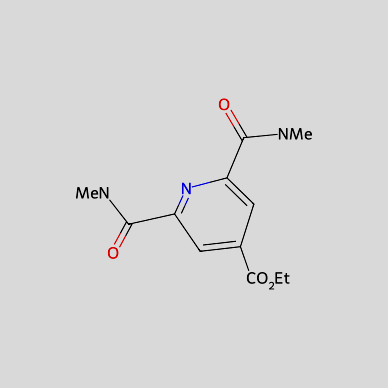 CCOC(=O)c1cc(C(=O)NC)nc(C(=O)NC)c1